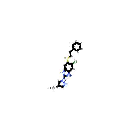 O=C(O)c1cnn(-c2nc3cc(SCCc4ccccc4)c(Cl)cc3[nH]2)c1